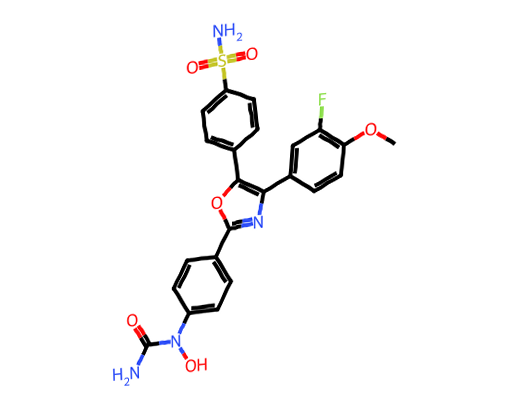 COc1ccc(-c2nc(-c3ccc(N(O)C(N)=O)cc3)oc2-c2ccc(S(N)(=O)=O)cc2)cc1F